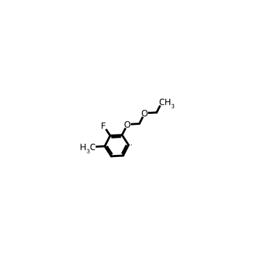 CCOCOc1[c]ccc(C)c1F